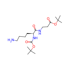 CC(C)(C)OC(=O)CCNC(=O)[C@H](CCCCN)NC(=O)OC(C)(C)C